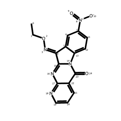 CCON=C1c2cc([N+](=O)[O-])ccc2-n2c1nc1ncccc1c2=O